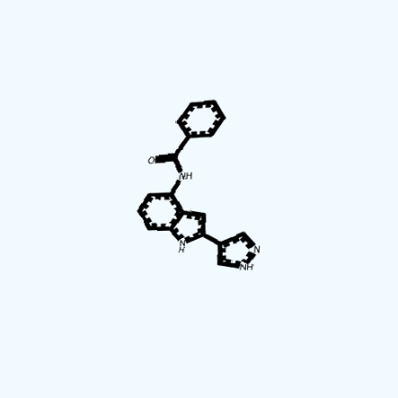 O=C(Nc1cccc2[nH]c(-c3cn[nH]c3)cc12)c1ccccc1